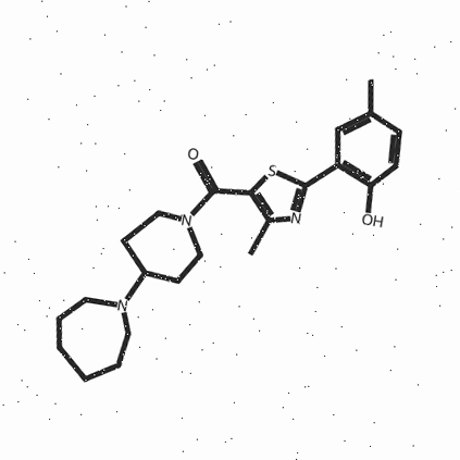 Cc1ccc(O)c(-c2nc(C)c(C(=O)N3CCC(N4CCCCCC4)CC3)s2)c1